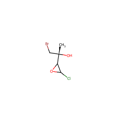 C[C@](O)(CBr)C1OC1Cl